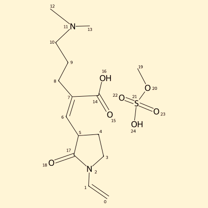 C=CN1CCC(C=C(CCCN(C)C)C(=O)O)C1=O.COS(=O)(=O)O